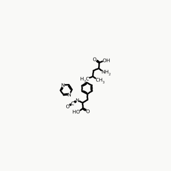 CC(C)CC(N)C(=O)O.O=C=NC(Cc1ccccc1)C(=O)O.c1cnccn1